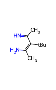 CC(=N)/C(=C(/C)N)C(C)(C)C